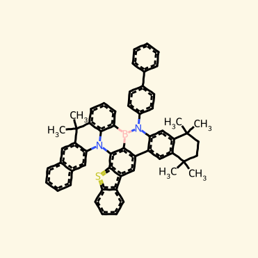 CC1(C)CCC(C)(C)c2cc3c(cc21)-c1cc2c(sc4ccccc42)c2c1B(c1cccc4c1N2c1cc2ccccc2cc1C4(C)C)N3c1ccc(-c2ccccc2)cc1